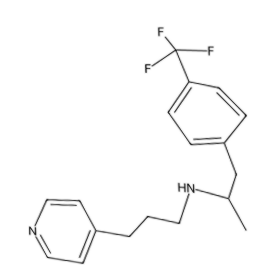 CC(Cc1ccc(C(F)(F)F)cc1)NCCCc1ccncc1